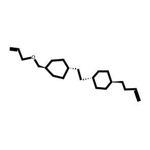 C=CCC[C@H]1CC[C@H](CC[C@H]2CC[C@H](COCC=C)CC2)CC1